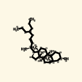 CCCC(C/C=C/[C@@H](C)[C@H]1CC[C@H]2[C@@H]3CC=C4C[C@@H](O)CC[C@]4(C)[C@H]3CC[C@]12C)CCC